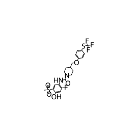 CS(=O)(=O)c1cc(NC(=O)N2CCC(COc3ccc(SC(F)(F)F)cc3)CC2)c(F)cc1O